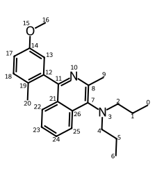 CCCN(CCC)c1c(C)nc(-c2cc(OC)ccc2C)c2ccccc12